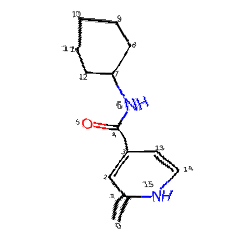 C=C1C=C(C(=O)NC2CCCCC2)C=CN1